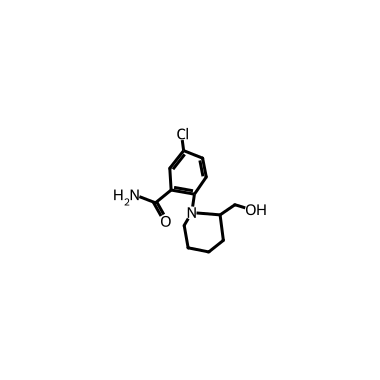 NC(=O)c1cc(Cl)ccc1N1CCCCC1CO